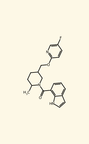 CC1CCC(COc2ccc(F)cn2)CN1C(=O)c1cccc2cc[nH]c12